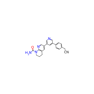 N#CCc1ccc(-c2cncc(-c3cnc4c(c3)CCCN4C(N)=O)c2)cc1